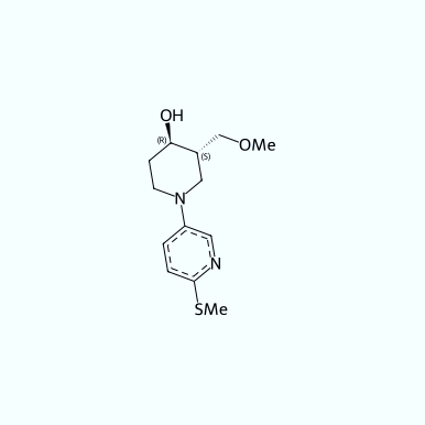 COC[C@@H]1CN(c2ccc(SC)nc2)CC[C@H]1O